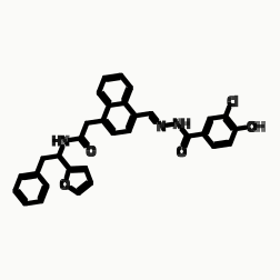 O=C(Cc1ccc(/C=N/NC(=O)c2ccc(O)c(Cl)c2)c2ccccc12)NC(Cc1ccccc1)c1ccco1